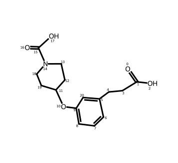 O=C(O)CCc1cccc(OC2CCN(C(=O)O)CC2)c1